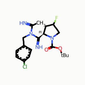 CC(=N)N(Cc1ccc(Cl)cc1)C(=N)[C@H]1CC(F)CN1C(=O)OC(C)(C)C